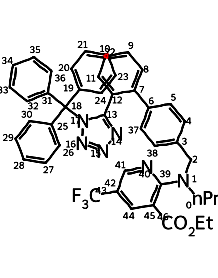 CCCN(Cc1ccc(-c2ccccc2-c2nnnn2C(c2ccccc2)(c2ccccc2)c2ccccc2)cc1)c1ncc(C(F)(F)F)cc1C(=O)OCC